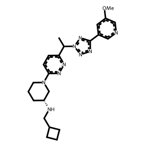 COc1cncc(-c2nnn(C(C)c3ccc(N4CCC[C@@H](NCC5CCC5)C4)nn3)n2)c1